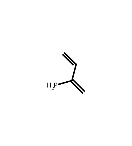 C=CC(=C)P